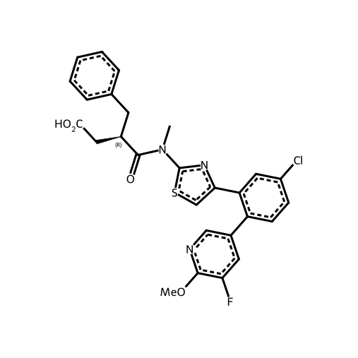 COc1ncc(-c2ccc(Cl)cc2-c2csc(N(C)C(=O)[C@@H](CC(=O)O)Cc3ccccc3)n2)cc1F